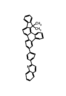 CC1(C)c2ccccc2-c2ccc3c4ccc(-c5ccc(-c6ccc7ccccc7n6)cc5)cc4c4ccccc4c3c21